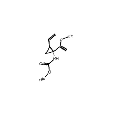 C=C[C@@H]1C[C@]1(NC(=O)OC(C)(C)C)C(=C)OCC